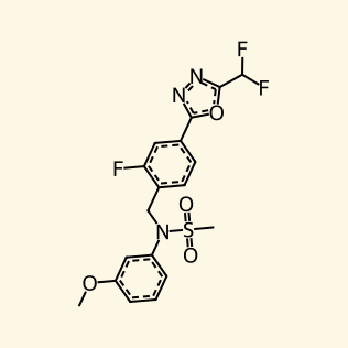 COc1cccc(N(Cc2ccc(-c3nnc(C(F)F)o3)cc2F)S(C)(=O)=O)c1